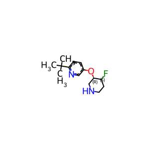 CC(C)(C)c1ccc(O[C@@H]2CNCC[C@@H]2F)cn1